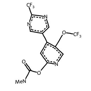 CNC(=O)Oc1cc(-c2cnc(C(F)(F)F)nc2)c(OC(F)(F)F)cn1